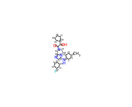 Cc1ccc(Nc2c(-c3ccc(F)cc3)nc3n2CCN(C(=O)C(O)c2ccccc2)C3)cc1